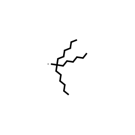 [CH2]C(CCCCCC)(CCCCCC)CCCCCC